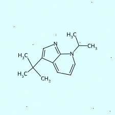 CC(C)n1cccc2c(C(C)(C)C)cnc1-2